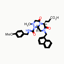 COc1ccc(CNC(=O)N2[C@H]3CN(Cc4cccc5ccccc45)C(=O)[C@H](CCC(=O)O)N3C(=O)CN2C)cc1